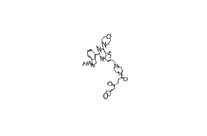 O=C(C=C1COC1)CCC(=O)N1CCN(Cc2cc3nc(-c4cccc5[nH]ncc45)nc(N4CCOCC4)c3s2)CC1